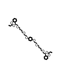 C=CC(=O)OC(COCCCCOCCOc1ccc(OCCOCCCCOCC(OC(=O)C=C)c2ccccc2)cc1)c1ccccc1